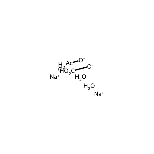 CC(=O)[O-].O.O.O.O=C([O-])O.[Na+].[Na+]